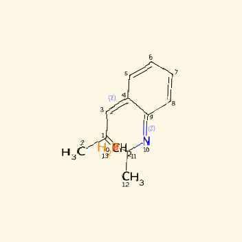 C=C(C)/C=C1/C=CC=C/C1=N/C(C)P